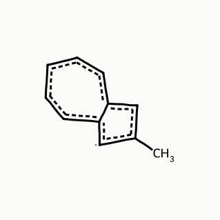 Cc1[c]c2cccccc-2c1